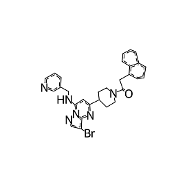 O=C(Cc1cccc2ccccc12)N1CCC(c2cc(NCc3cccnc3)n3ncc(Br)c3n2)CC1